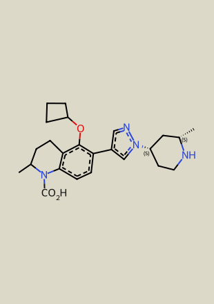 CC1CCc2c(ccc(-c3cnn([C@H]4CCN[C@@H](C)C4)c3)c2OC2CCC2)N1C(=O)O